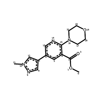 COC(=O)c1cc(-c2cnn(C)c2)cnc1N1CCOCC1